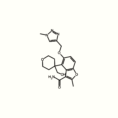 Cc1oc2ccc(OCc3cn(C)nn3)c(C3(CO)CCOCC3)c2c1C(N)=O